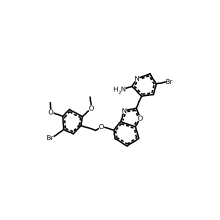 COc1cc(OC)c(COc2cccc3oc(-c4cc(Br)cnc4N)nc23)cc1Br